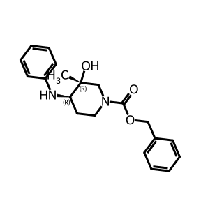 C[C@@]1(O)CN(C(=O)OCc2ccccc2)CC[C@H]1Nc1ccccc1